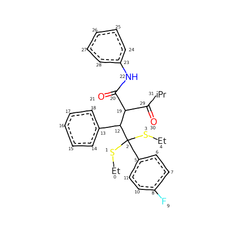 CCSC(SCC)(c1ccc(F)cc1)C(c1ccccc1)C(C(=O)Nc1ccccc1)C(=O)C(C)C